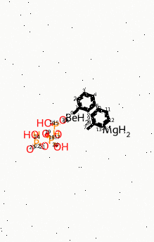 Cc1ccccc1.Cc1ccccc1.O=[PH](O)OP(=O)(O)O[PH](=O)O.[BeH2].[MgH2]